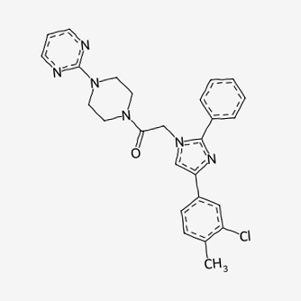 Cc1ccc(-c2cn(CC(=O)N3CCN(c4ncccn4)CC3)c(-c3ccccc3)n2)cc1Cl